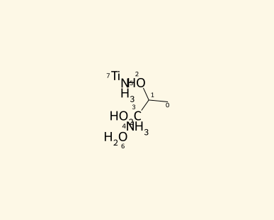 CC(O)C(=O)O.N.N.O.[Ti]